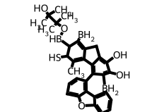 BC1=C2Cc3c(O)c(O)c(B)c(-c4cccc5oc6ccccc6c45)c3C2=C(C)C(S)C1BOC(C)(C)C(C)(C)O